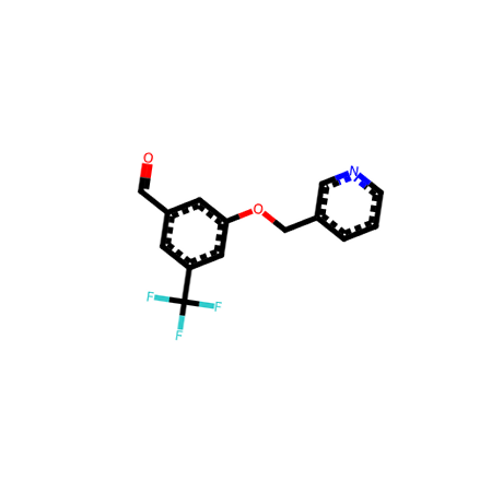 O=Cc1cc(OCc2cccnc2)cc(C(F)(F)F)c1